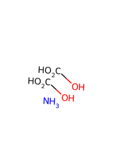 N.O=C(O)O.O=C(O)O